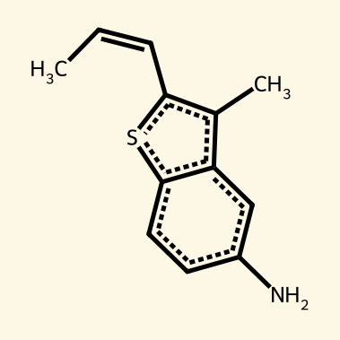 C/C=C\c1sc2ccc(N)cc2c1C